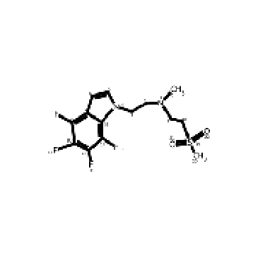 CN(CCn1ccc2c(F)c(F)c(F)c(F)c21)CCS(C)(=O)=O